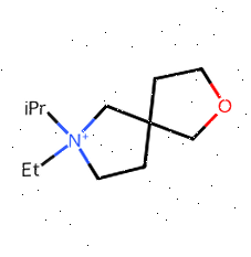 CC[N+]1(C(C)C)CCC2(CCOC2)C1